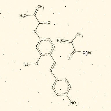 C=C(C)C(=O)OC.C=C(C)C(=O)Oc1ccc(C=Cc2ccc([N+](=O)[O-])cc2)c(OCC)c1